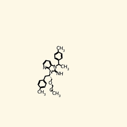 COCOC[C@H](Cc1ccc(C)cc1)n1c(=N)n(C(C)c2ccc(C)cc2)c2cccnc21